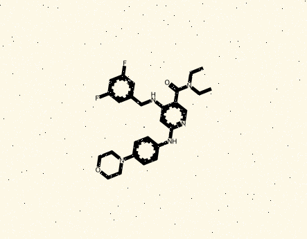 CCN(CC)C(=O)c1cnc(Nc2ccc(N3CCOCC3)cc2)cc1NCc1cc(F)cc(F)c1